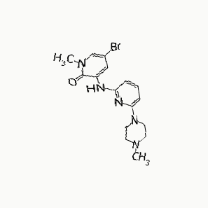 CN1CCN(c2cccc(Nc3cc(Br)cn(C)c3=O)n2)CC1